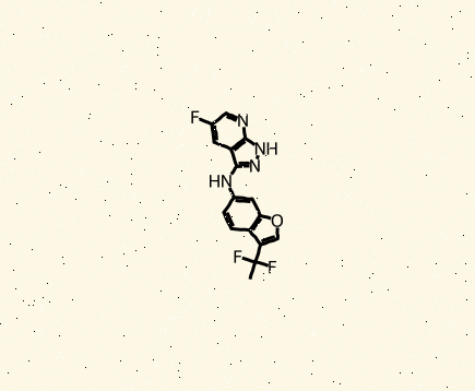 CC(F)(F)c1coc2cc(Nc3n[nH]c4ncc(F)cc34)ccc12